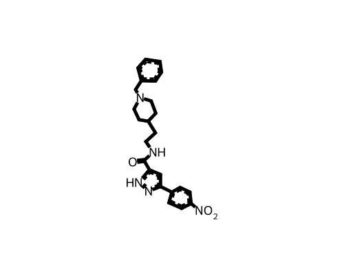 O=C(NCCC1CCN(Cc2ccccc2)CC1)c1cc(-c2ccc([N+](=O)[O-])cc2)n[nH]1